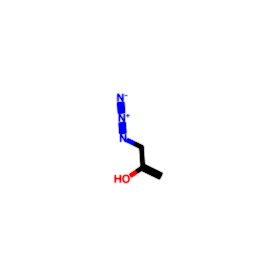 C=C(O)CN=[N+]=[N-]